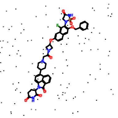 O=C1CCC(N2C(=O)c3cccc4c(C5CCN(CC(=O)N6CC(Oc7ccc8cc(OCc9ccccc9)c(N9CC(=O)NS9(=O)=O)c(F)c8c7)C6)CC5)ccc2c34)C(=O)N1